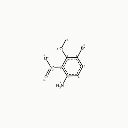 COc1c(Br)ccc(N)c1[N+](=O)[O-]